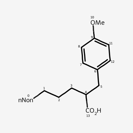 CCCCCCCCCCCCC(Cc1ccc(OC)cc1)C(=O)O